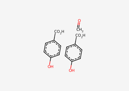 C=O.O=C(O)c1ccc(O)cc1.O=C(O)c1ccc(O)cc1